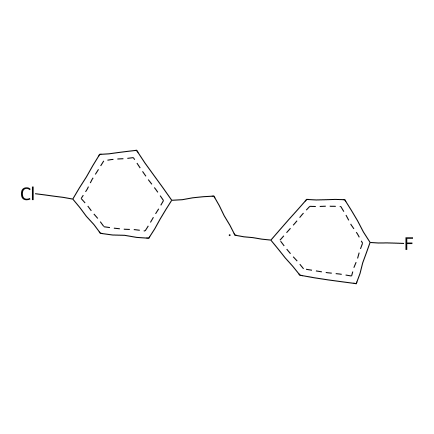 Fc1ccc([CH]Cc2ccc(Cl)cc2)cc1